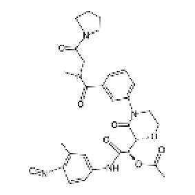 [C-]#[N+]c1ccc(NC(=O)[C@H](OC(C)=O)[C@H]2OCCN(c3cccc(C(=O)N(C)CC(=O)N4CCCC4)c3)C2=O)cc1C